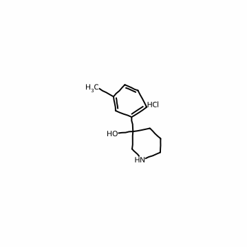 Cc1cccc(C2(O)CCCNC2)c1.Cl